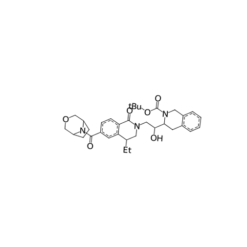 CCC1CN(CC(O)C2Cc3ccccc3CN2C(=O)OC(C)(C)C)C(=O)c2ccc(C(=O)N3C4CCC3COC4)cc21